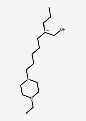 CCC[C@@H](CO)CCCCCN1CCN(CC)CC1